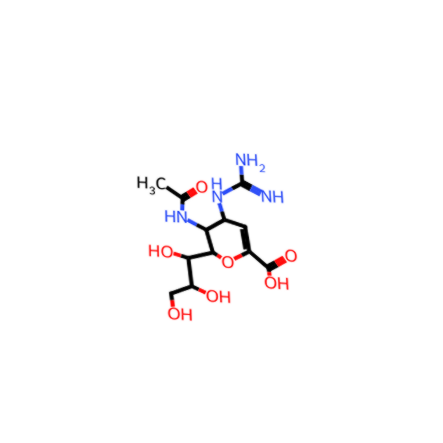 CC(=O)NC1C(NC(=N)N)C=C(C(=O)O)OC1C(O)C(O)CO